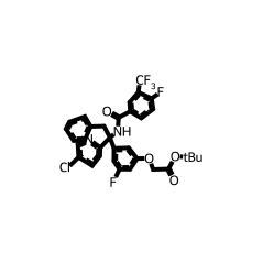 CC(C)(C)OC(=O)COc1cc(F)cc(C(Cc2ccccc2)(NC(=O)c2ccc(F)c(C(F)(F)F)c2)c2ccc(Cl)cn2)c1